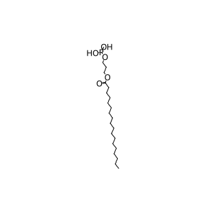 CCCCCCCCCCCCCCCCCC(=O)OCCCOP(O)O